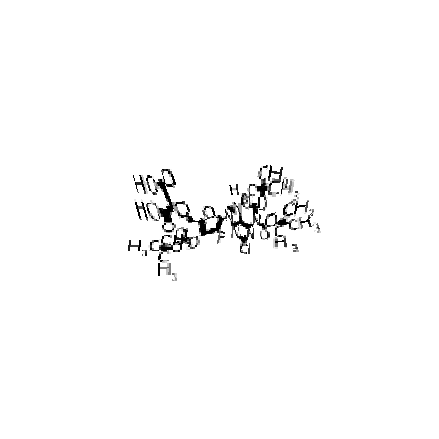 CC(C)(C)OC(=O)O[C@H]1[C@H](F)[C@H](n2cnc3c(N(C(=O)OC(C)(C)C)C(=O)OC(C)(C)C)nc(Cl)nc32)O[C@@H]1COC(C(=O)O)C(=O)O